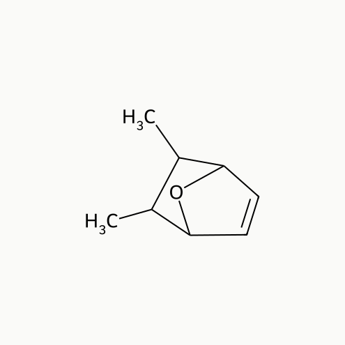 CC1C2C=CC(O2)C1C